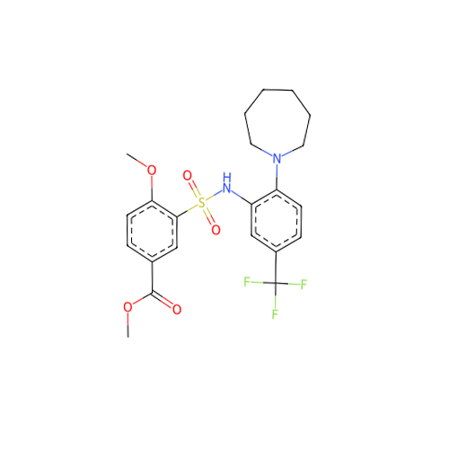 COC(=O)c1ccc(OC)c(S(=O)(=O)Nc2cc(C(F)(F)F)ccc2N2CCCCCC2)c1